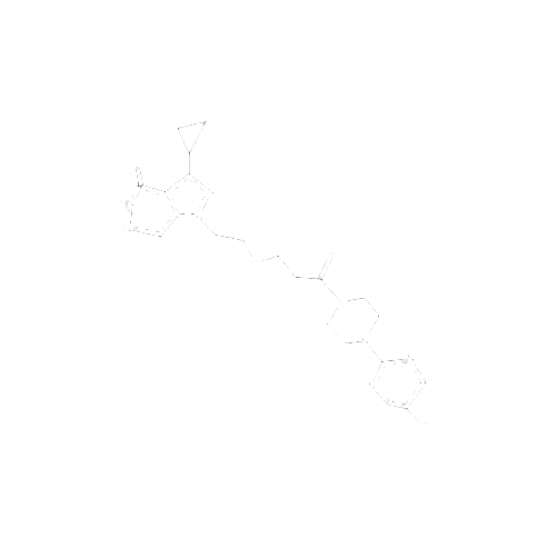 O=C(CCOCCn1nc(C2CC2)c2c(=O)[nH]ncc21)N1CCN(c2ncc(C(F)(F)F)cn2)CC1